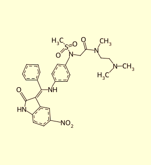 CN(C)CCN(C)C(=O)CN(c1ccc(NC(=C2C(=O)Nc3ccc([N+](=O)[O-])cc32)c2ccccc2)cc1)S(C)(=O)=O